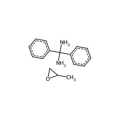 CC1CO1.NC(N)(c1ccccc1)c1ccccc1